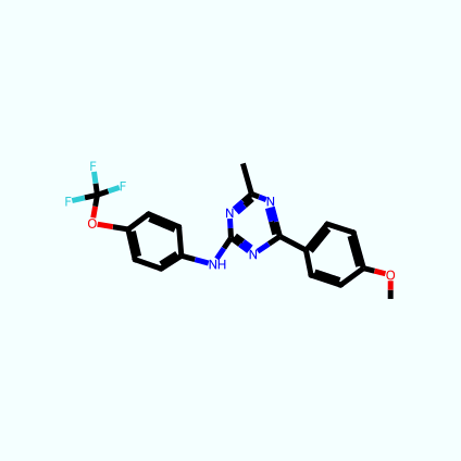 COc1ccc(-c2nc(C)nc(Nc3ccc(OC(F)(F)F)cc3)n2)cc1